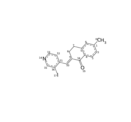 Cc1ccc2c(c1)CC/C(=C\c1ccncc1I)C2=O